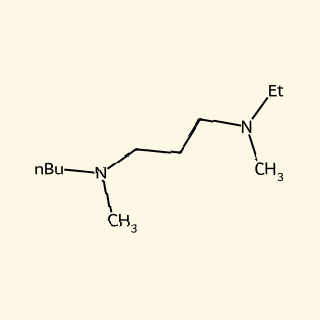 CCCCN(C)CCCN(C)CC